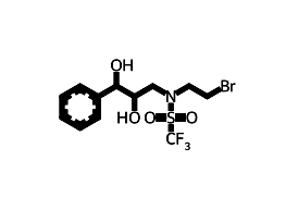 O=S(=O)(N(CCBr)CC(O)C(O)c1ccccc1)C(F)(F)F